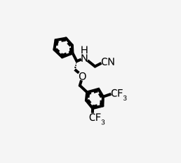 N#CCN[C@H](COCc1cc(C(F)(F)F)cc(C(F)(F)F)c1)c1ccccc1